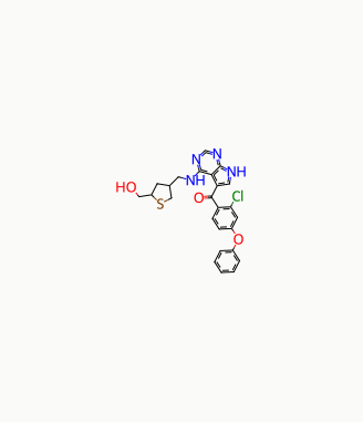 O=C(c1ccc(Oc2ccccc2)cc1Cl)c1c[nH]c2ncnc(NCC3CSC(CO)C3)c12